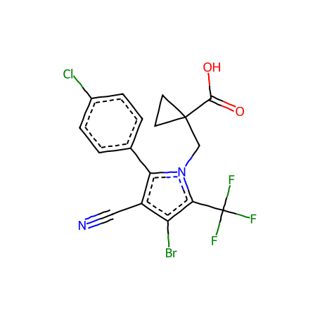 N#Cc1c(Br)c(C(F)(F)F)n(CC2(C(=O)O)CC2)c1-c1ccc(Cl)cc1